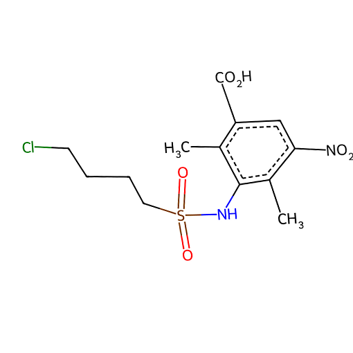 Cc1c(C(=O)O)cc([N+](=O)[O-])c(C)c1NS(=O)(=O)CCCCCl